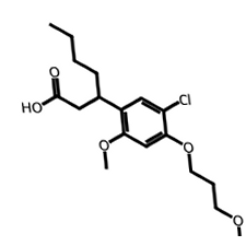 CCCCC(CC(=O)O)c1cc(Cl)c(OCCCOC)cc1OC